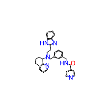 O=C(NCc1cccc(CN(CCc2nc3ccccc3[nH]2)C2CCCc3cccnc32)c1)c1ccncc1